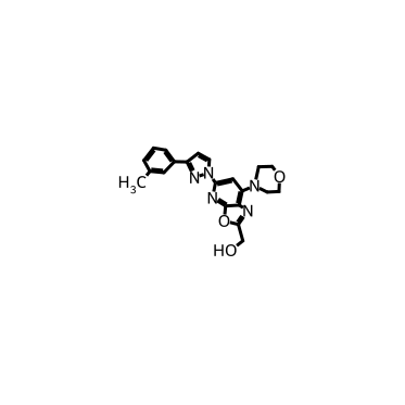 Cc1cccc(-c2ccn(-c3cc(N4CCOCC4)c4nc(CO)oc4n3)n2)c1